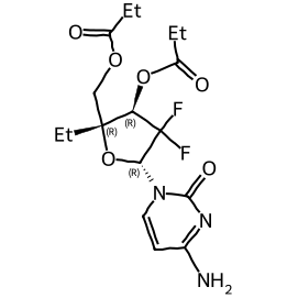 CCC(=O)OC[C@@]1(CC)O[C@@H](n2ccc(N)nc2=O)C(F)(F)[C@@H]1OC(=O)CC